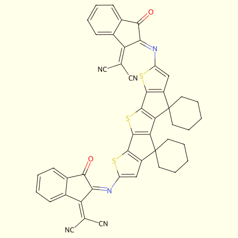 N#CC(C#N)=C1/C(=N/c2cc3c(s2)-c2sc4c(c2C32CCCCC2)C2(CCCCC2)c2cc(/N=C3/C(=O)c5ccccc5C3=C(C#N)C#N)sc2-4)C(=O)c2ccccc21